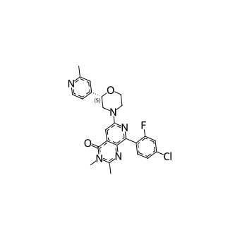 Cc1cc([C@H]2CN(c3cc4c(=O)n(C)c(C)nc4c(-c4ccc(Cl)cc4F)n3)CCO2)ccn1